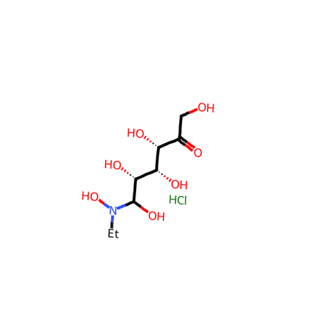 CCN(O)C(O)[C@H](O)[C@@H](O)[C@H](O)C(=O)CO.Cl